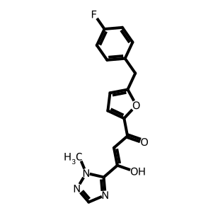 Cn1ncnc1C(O)=CC(=O)c1ccc(Cc2ccc(F)cc2)o1